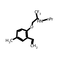 C=Cc1cc(C)ccc1OCC(NCCC)C(F)(F)F